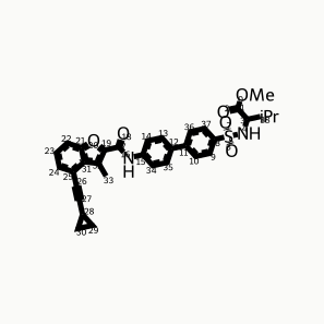 COC(=O)C(NS(=O)(=O)c1ccc(-c2ccc(NC(=O)c3oc4cccc(C#CC5CC5)c4c3C)cc2)cc1)C(C)C